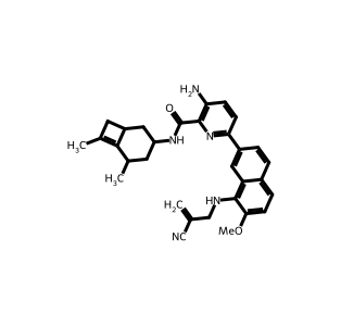 C=C(C#N)CNc1c(OC)ccc2ccc(-c3ccc(N)c(C(=O)NC4CC(C)C5=C(C)CC5C4)n3)cc12